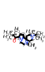 CN1CCn2c(C(=O)C(C)(C)C)ccc2C12CCN(C(C)(C)C)CC2